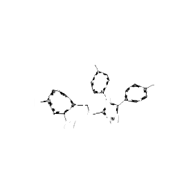 Fc1ccc(-c2nnc(SCc3ccc(F)cc3Cl)n2-c2ccc(I)cc2)cc1